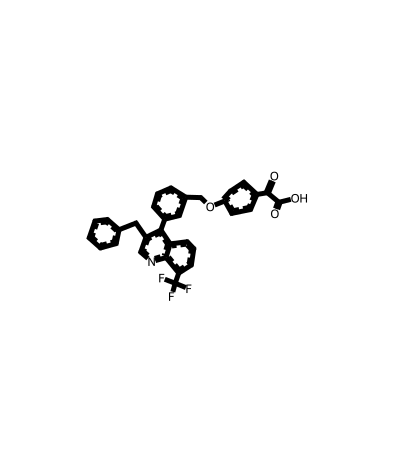 O=C(O)C(=O)c1ccc(OCc2cccc(-c3c(Cc4ccccc4)cnc4c(C(F)(F)F)cccc34)c2)cc1